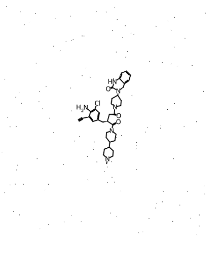 C#Cc1cc(C[C@@H](CC(=O)N2CCC(N3Cc4ccccc4NC3=O)CC2)C(=O)N2CCC(C3CCN(C)CC3)CC2)cc(Cl)c1N